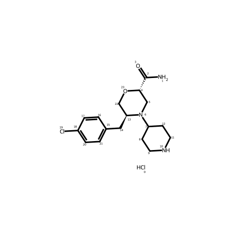 Cl.NC(=O)[C@@H]1CN(C2CCNCC2)[C@@H](Cc2ccc(Cl)cc2)CO1